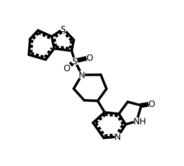 O=C1Cc2c(C3CCN(S(=O)(=O)c4csc5ccccc45)CC3)ccnc2N1